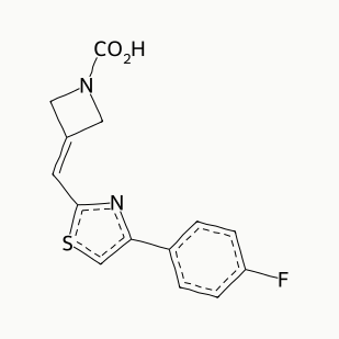 O=C(O)N1CC(=Cc2nc(-c3ccc(F)cc3)cs2)C1